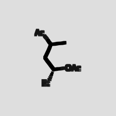 CC[C@H](CC(C)C(C)=O)OC(C)=O